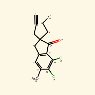 C#CCC1(CCC(C)=O)Cc2cc(OC(C)=O)c(Cl)c(Cl)c2C1=O